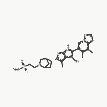 CNS(=O)(=O)CCN1CC2CC1C[C@H]2c1sc2[nH]c(-c3cn4ncnc4c(C)c3C)c(C(C)C)c2c1C